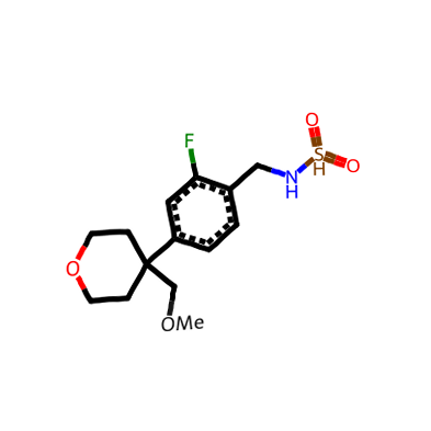 COCC1(c2ccc(CN[SH](=O)=O)c(F)c2)CCOCC1